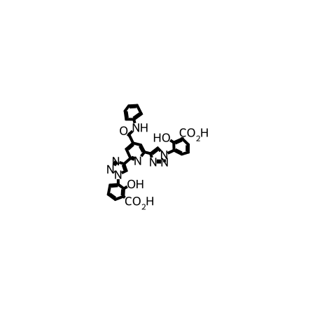 O=C(Nc1ccccc1)c1cc(-c2cn(-c3cccc(C(=O)O)c3O)nn2)nc(-c2cn(-c3cccc(C(=O)O)c3O)nn2)c1